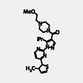 COCCN1CCN(C(=O)c2cnn(-c3nccc(C4SC=CC4C)n3)c2C(C)C)CC1